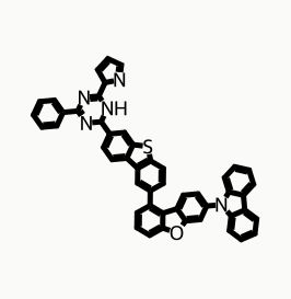 C1=CC(C2=NC(c3ccccc3)=NC(c3ccc4c(c3)sc3ccc(-c5cccc6oc7cc(-n8c9ccccc9c9ccccc98)ccc7c56)cc34)N2)N=C1